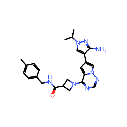 Cc1ccc(CNC(=O)C2CN(c3ncnn4cc(-c5cn(C(C)C)nc5N)cc34)C2)cc1